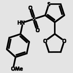 COc1ccc(NS(=O)(=O)c2sccc2C2OCCO2)cc1